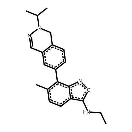 CCNc1onc2c(-c3ccc4c(c3)C=NN(C(C)C)C4)c(C)ccc12